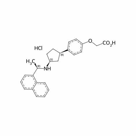 C[C@@H](N[C@H]1CC[C@@H](c2ccc(OCC(=O)O)cc2)C1)c1cccc2ccccc12.Cl